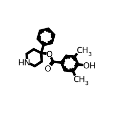 Cc1cc(C(=O)OC2(c3ccccc3)CCNCC2)cc(C)c1O